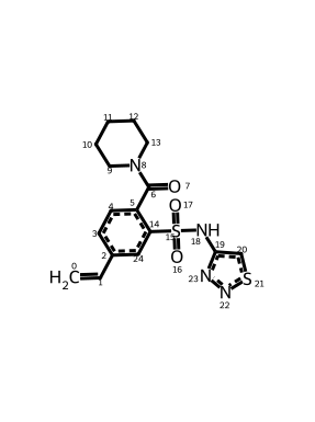 C=Cc1ccc(C(=O)N2CCCCC2)c(S(=O)(=O)Nc2csnn2)c1